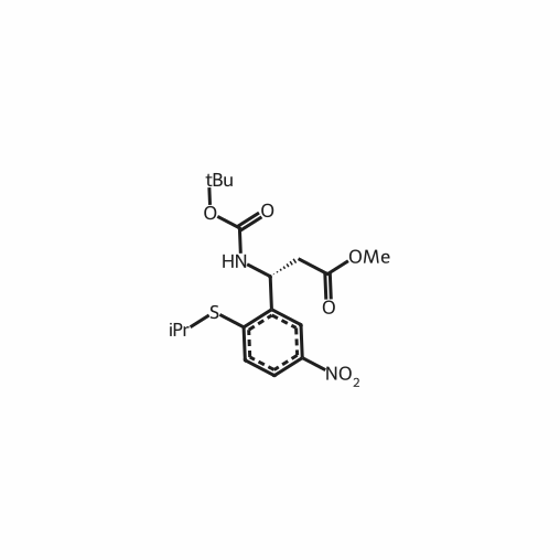 COC(=O)C[C@@H](NC(=O)OC(C)(C)C)c1cc([N+](=O)[O-])ccc1SC(C)C